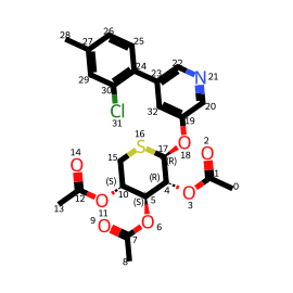 CC(=O)O[C@@H]1[C@@H](OC(C)=O)[C@H](OC(C)=O)CS[C@H]1Oc1cncc(-c2ccc(C)cc2Cl)c1